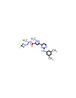 Cc1cc(C)cc(Nc2nccc(-c3cc(C(=O)N[C@@H](C)CN4CC(F)(F)C4)n(C)n3)n2)c1